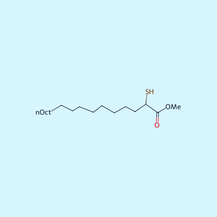 CCCCCCCCCCCCCCCCC(S)C(=O)OC